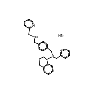 Br.c1ccc(CNCc2ccc(CN(Cc3ccccn3)C3CCCc4ccccc43)cc2)nc1